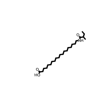 CCC(C)C(=O)NCCCCCCCCCCCCCCCCCCC(=O)O